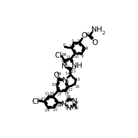 Cc1cc(OC(N)=O)ccc1-c1[nH]c(C2CCc3cc(-c4cc(Cl)ccc4-n4cnnn4)cc(=O)n32)nc1Cl